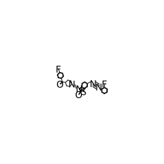 O=C(c1ccc(F)cc1)C1CCN(CCn2c(=O)sc3cc(CN4CCN(c5ccccc5F)CC4)ccc32)CC1